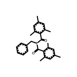 Cc1cc(C)c(C(=O)P(Cc2ccccc2)C(=O)c2c(C)cc(C)cc2C)c(C)c1